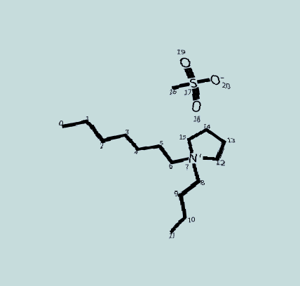 CCCCCCC[N+]1(CCCC)CCCC1.CS(=O)(=O)[O-]